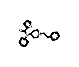 O=C(c1ccco1)N(c1ccccc1)C1CCN(CCc2ccccc2)CC1